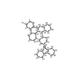 Cc1ccc2c(c1)c1ccccc1c1c(-c3ccc(-n4c5ccccc5c5ccccc54)cc3)c3ccccc3cc21